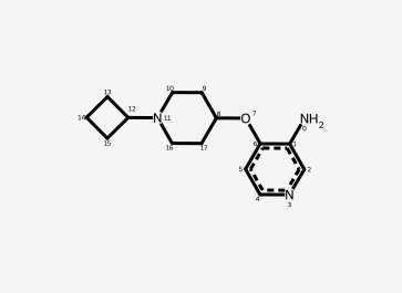 Nc1cnccc1OC1CCN(C2CCC2)CC1